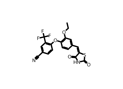 CCOc1cc(C=C2SC(=O)NC2=O)ccc1Oc1ccc(C#N)cc1C(F)(F)F